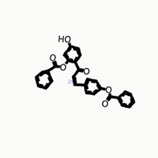 O=C(Oc1ccc(/C=C\C(=O)c2ccc(O)cc2OC(=O)c2ccccc2)cc1)c1ccccc1